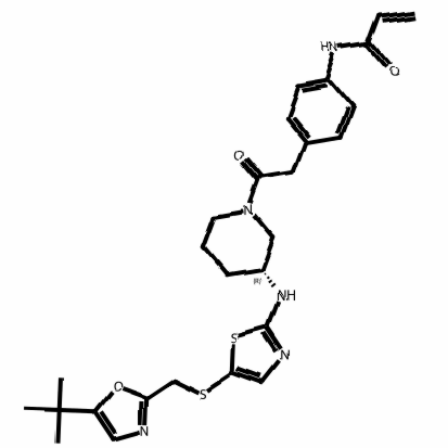 C=CC(=O)Nc1ccc(CC(=O)N2CCC[C@@H](Nc3ncc(SCc4ncc(C(C)(C)C)o4)s3)C2)cc1